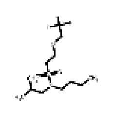 CCCCN(CC(C)C)S(=O)(=O)CCOCC(F)(F)F